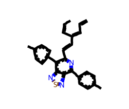 C=C/C=C(\C=C/C)/C=C/c1nc(-c2ccc(C)cc2)c2nsnc2c1-c1ccc(C)cc1